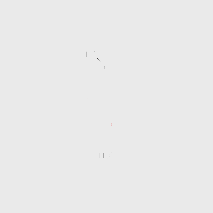 C[C@@H](F)COC(=O)CC(=O)OC[C@@H](C)F